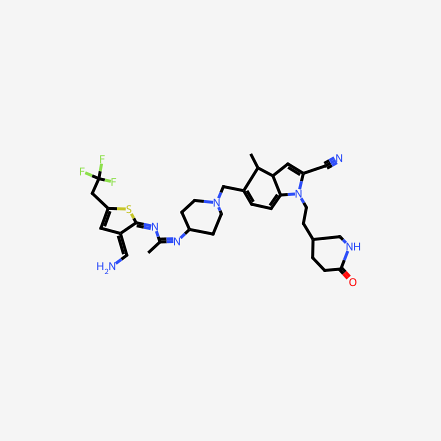 CC(=N/C1CCN(CC2=CC=C3C(C=C(C#N)N3CCC3CCC(=O)NC3)C2C)CC1)/N=C1/SC(CC(F)(F)F)=C/C1=C\N